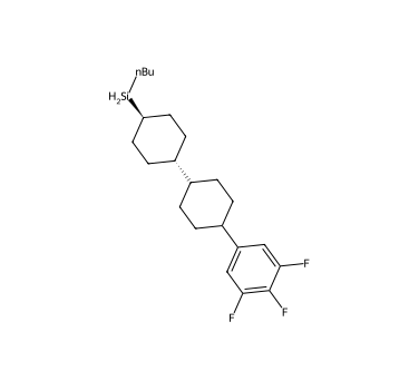 CCCC[SiH2][C@H]1CC[C@H](C2CCC(c3cc(F)c(F)c(F)c3)CC2)CC1